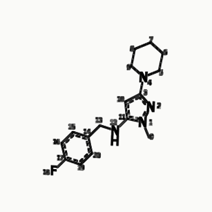 Cn1nc(N2CCCCC2)cc1NCc1ccc(F)cc1